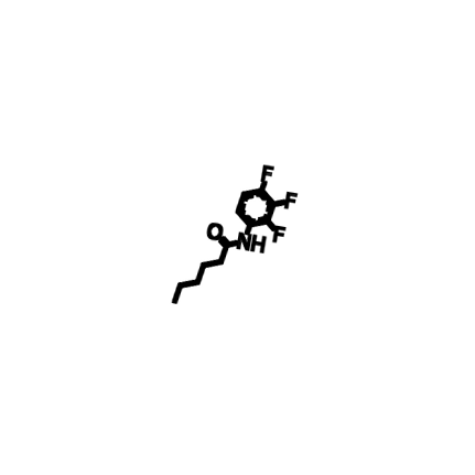 CCCCCC(=O)Nc1ccc(F)c(F)c1F